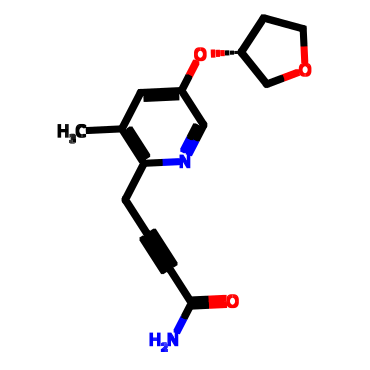 Cc1cc(O[C@@H]2CCOC2)cnc1CC#CC(N)=O